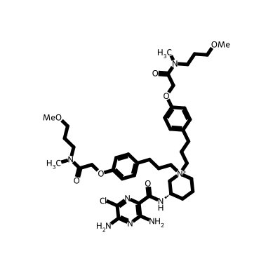 COCCCN(C)C(=O)COc1ccc(CCC[N+]2(CCCc3ccc(OCC(=O)N(C)CCCOC)cc3)CCC[C@H](NC(=O)c3nc(Cl)c(N)nc3N)C2)cc1